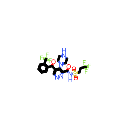 O=C(c1ccccc1C(F)(F)F)c1cnnc(C(=O)NS(=O)(=O)CCC(F)(F)F)c1N1CCNCC1